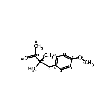 COc1ccc(CC(C)(C)C(C)=O)cc1